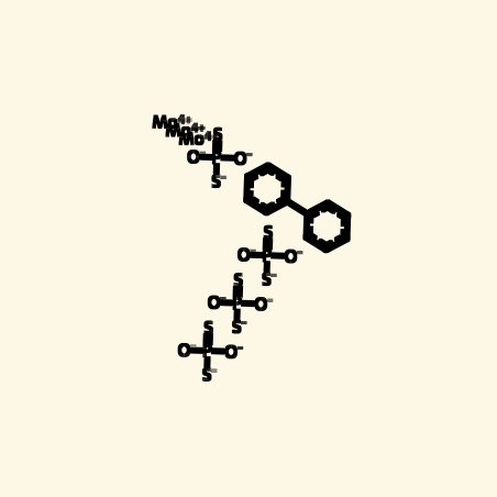 [Mo+4].[Mo+4].[Mo+4].[O-]P([O-])(=S)[S-].[O-]P([O-])(=S)[S-].[O-]P([O-])(=S)[S-].[O-]P([O-])(=S)[S-].c1ccc(-c2ccccc2)cc1